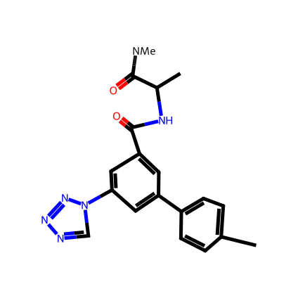 CNC(=O)C(C)NC(=O)c1cc(-c2ccc(C)cc2)cc(-n2cnnn2)c1